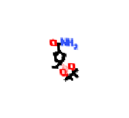 CCC1(B2OC(C)(C)C(C)(C)O2)C=CC(C(N)=O)=CC1